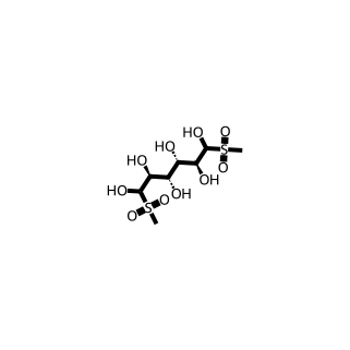 CS(=O)(=O)C(O)[C@@H](O)[C@@H](O)[C@H](O)[C@H](O)C(O)S(C)(=O)=O